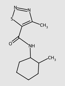 Cc1nnsc1C(=O)NC1CCCCC1C